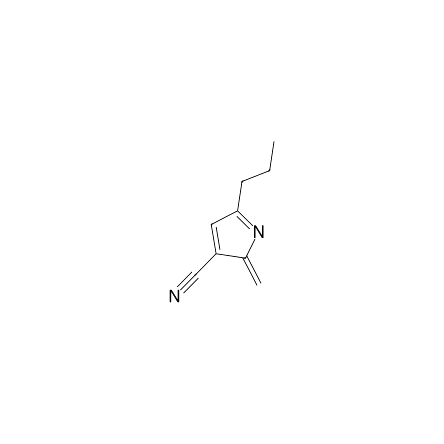 C=C1N=C(CCC)C=C1C#N